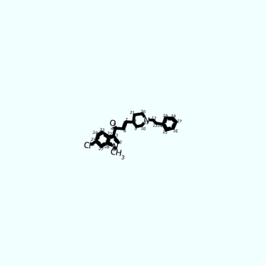 Cn1cc(C(=O)C=CC2CCN(CCc3ccccc3)CC2)c2ccc(Cl)cc21